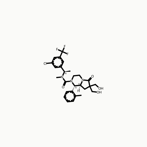 Cc1ccccc1[C@H]1[C@@H]2CC(CO)(CO)C(=O)N2CCN1C(=O)N(C)[C@H](C)c1cc(Cl)cc(C(F)(F)F)c1